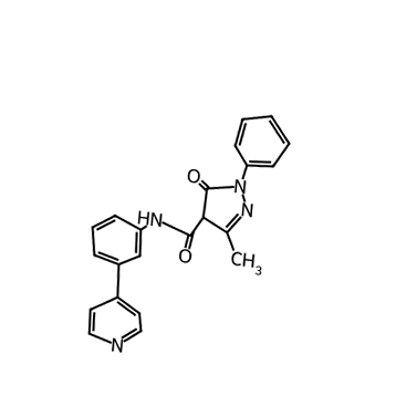 CC1=NN(c2ccccc2)C(=O)C1C(=O)Nc1cccc(-c2ccncc2)c1